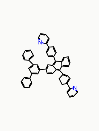 C1=C(c2ccccn2)CCC(c2c3ccccc3c(-c3ccc(-c4ccccn4)cc3)c3cc(-c4cc(-c5ccccc5)cc(-c5ccccc5)c4)ccc23)=C1